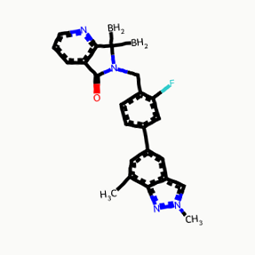 BC1(B)c2ncccc2C(=O)N1Cc1ccc(-c2cc(C)c3nn(C)cc3c2)cc1F